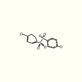 O=S(=O)(C1=CC=C(Cl)CC1)S(=O)(=O)c1ccc(Cl)cc1